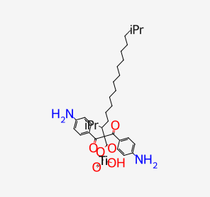 CC(C)CCCCCCCCCCCCC(C(C)C)C(C(=O)[O][Ti](=[O])[OH])(C(=O)c1ccc(N)cc1)C(=O)c1ccc(N)cc1